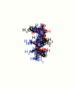 CC(C)C[C@H](NC(=O)[C@H](CO)NC(=O)CNC(=O)[C@@H](N)CC(C)C)C(=O)N[C@@H](CCC(N)=O)C(=O)N[C@@H](CO)C(=O)N[C@@H](CC(C)C)C(=O)N[C@@H](CC(C)C)C(=O)N[C@@H](CC(C)C)C(=O)N1CCC[C@H]1C(=O)N[C@@H](CCCNC(=N)N)C(=O)N[C@@H](Cc1ccccc1)C(=O)N[C@@H](CCCCN)C(=O)N[C@@H](CCCNC(=N)N)C(=O)N[C@@H](Cc1ccccc1)C(=O)N[C@@H](CO)C(=O)O